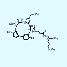 CNCCC[C@@H](CNC(=O)CCNC(=O)[C@@H]1Cc2cc(ccc2O)-c2ccc(O)c(c2)C[C@H](NC)C(=O)N[C@@H](CCCNC)C(=O)N1)NC